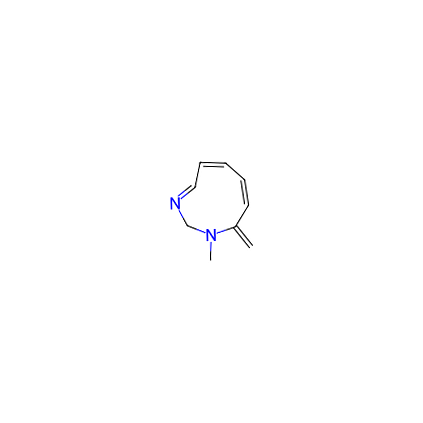 C=C1\C=C/C=C\C=N\CN1C